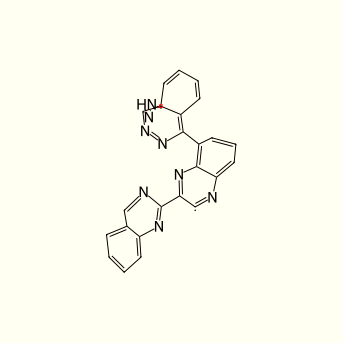 [c]1nc2cccc(C3=C4C=CC=CC45CNN=C5N=N3)c2nc1-c1ncc2ccccc2n1